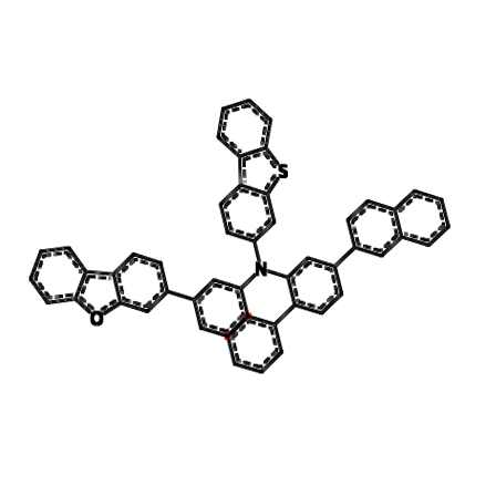 c1ccc(-c2ccc(-c3ccc4ccccc4c3)cc2N(c2cccc(-c3ccc4c(c3)oc3ccccc34)c2)c2ccc3c(c2)sc2ccccc23)cc1